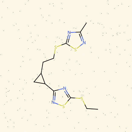 CCSc1nc(C2CC2CCSc2nc(C)ns2)ns1